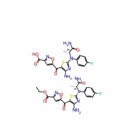 CCOC(=O)c1cc(C(=O)c2sc(N(c3ccc(F)cc3)[C@H](C)C(N)=O)nc2N)on1.C[C@H](C(N)=O)N(c1ccc(F)cc1)c1nc(N)c(C(=O)c2cc(C(=O)O)no2)s1